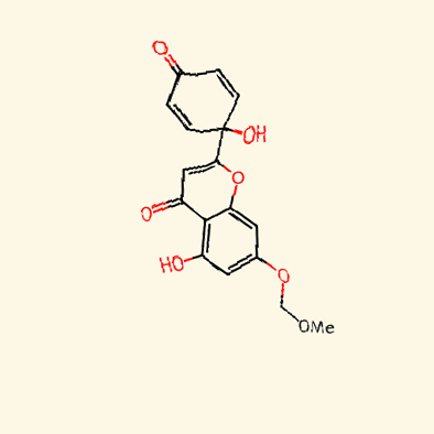 COCOc1cc(O)c2c(=O)cc(C3(O)C=CC(=O)C=C3)oc2c1